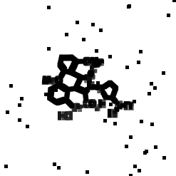 CCN(CC)C1CCN(N2C(C(=O)O)=C(c3ccccc3C(C)C)C(c3c(OC)cccc3OC)[N+]2=C=O)C1.Cl